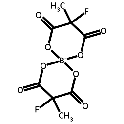 CC1(F)C(=O)O[B-]2(OC1=O)OC(=O)C(C)(F)C(=O)O2